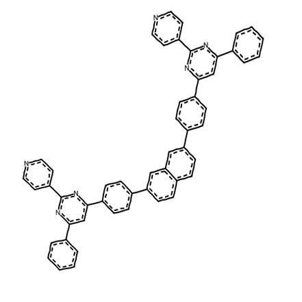 c1ccc(-c2cc(-c3ccc(-c4ccc5ccc(-c6ccc(-c7cc(-c8ccccc8)nc(-c8ccncc8)n7)cc6)cc5c4)cc3)nc(-c3ccncc3)n2)cc1